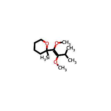 COC(=C(OC)C1([SiH3])CCCCO1)C(C)C